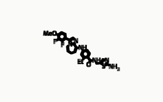 CCc1cc(NC2=CCC=Cn3c(-c4ccc(OC)c(F)c4F)cnc32)ccc1C(=O)NCc1cnc(N)s1